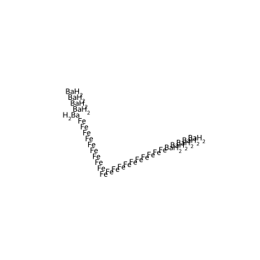 [BaH2].[BaH2].[BaH2].[BaH2].[BaH2].[BaH2].[BaH2].[BaH2].[BaH2].[BaH2].[Fe].[Fe].[Fe].[Fe].[Fe].[Fe].[Fe].[Fe].[Fe].[Fe].[Fe].[Fe].[Fe].[Fe].[Fe].[Fe].[Fe].[Fe].[Fe].[Fe]